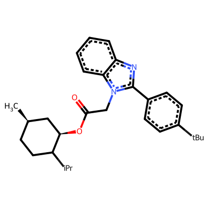 CC(C)C1CC[C@@H](C)C[C@H]1OC(=O)Cn1c(-c2ccc(C(C)(C)C)cc2)nc2ccccc21